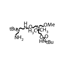 COCCN(CCOCNCCN(CCN)C(C)(C)C)C(C)(C)CCOC(=O)NC(C)(C)C